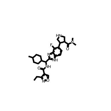 CCc1nocc1C(=O)NC(c1nc2c(F)c(C3CNCC3C(=O)N(C)C)ccc2[nH]1)C1CCC(C)CC1